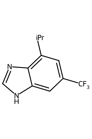 CC(C)c1cc(C(F)(F)F)cc2[nH]cnc12